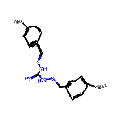 CCCCc1ccc(/C=N/NC(=N)N/N=C/c2ccc(CCCC)cc2)cc1